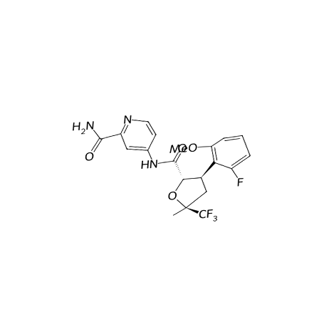 COc1cccc(F)c1[C@H]1C[C@@](C)(C(F)(F)F)O[C@@H]1C(=O)Nc1ccnc(C(N)=O)c1